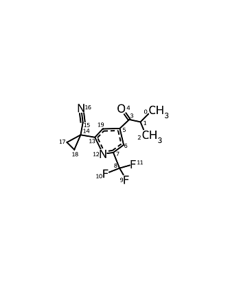 CC(C)C(=O)c1cc(C(F)(F)F)nc(C2(C#N)CC2)c1